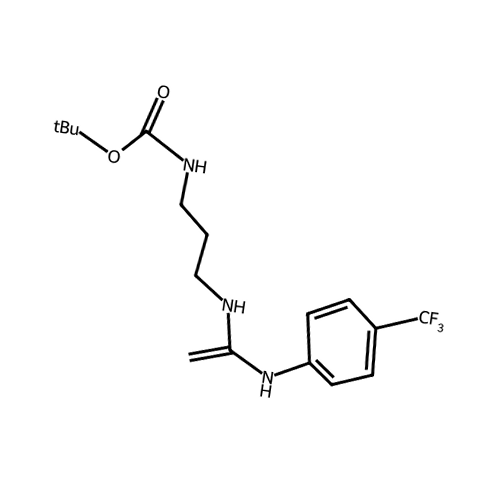 C=C(NCCCNC(=O)OC(C)(C)C)Nc1ccc(C(F)(F)F)cc1